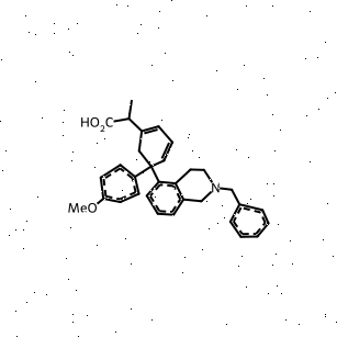 COc1ccc(C2(c3cccc4c3CCN(Cc3ccccc3)C4)C=CC=C(C(C)C(=O)O)C2)cc1